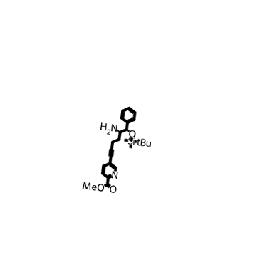 COC(=O)c1ccc(C#CCC[C@@H](N)[C@H](O[Si](C)(C)C(C)(C)C)c2ccccc2)cn1